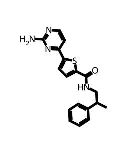 CC(CNC(=O)c1ccc(-c2ccnc(N)n2)s1)c1ccccc1